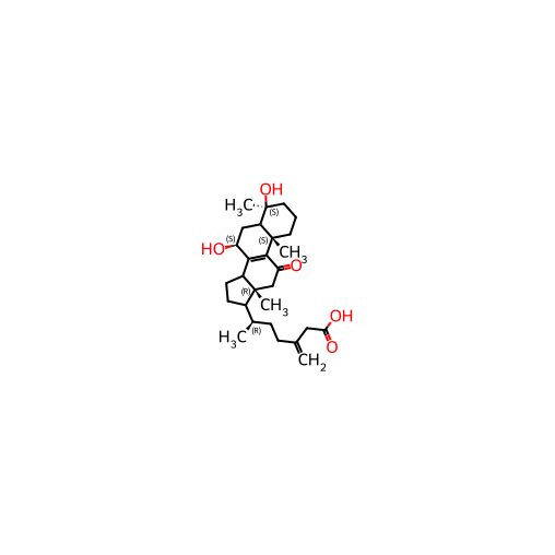 C=C(CC[C@@H](C)C1CCC2C3=C(C(=O)C[C@@]21C)[C@@]1(C)CCC[C@](C)(O)C1C[C@@H]3O)CC(=O)O